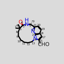 C[C@H]1NC(=O)C(C)(C)CCCCCCn2c(C=O)cc3ccc1nc32